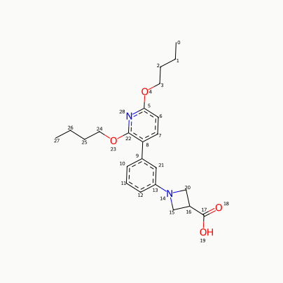 CCCCOc1ccc(-c2cccc(N3CC(C(=O)O)C3)c2)c(OCCCC)n1